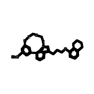 COc1cc2cc(c1)-c1cccc3c(CCCOc4cccc5c4CCCC5)cn(c13)CCOCCO2